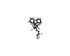 C[C@H](C=O)CCC[C@H](C)O[Si](c1ccccc1)(c1ccccc1)C(C)(C)C